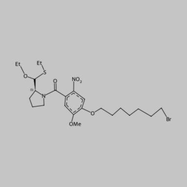 CCOC(SCC)[C@@H]1CCCN1C(=O)c1cc(OC)c(OCCCCCCCBr)cc1[N+](=O)[O-]